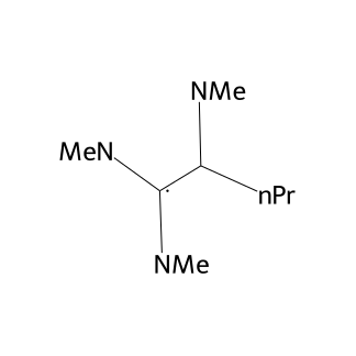 CCCC(NC)[C](NC)NC